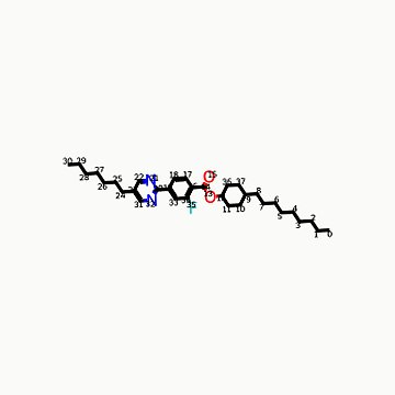 CCCCCCCCCC1CCC(OC(=O)c2ccc(-c3ncc(CCCCCCC)cn3)cc2F)CC1